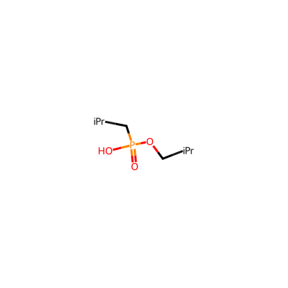 CC(C)COP(=O)(O)CC(C)C